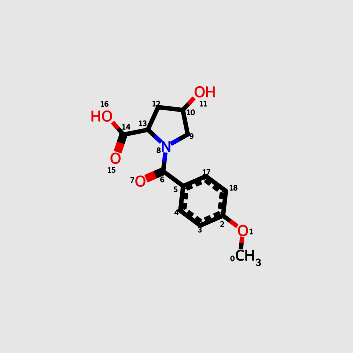 COc1ccc(C(=O)N2CC(O)CC2C(=O)O)cc1